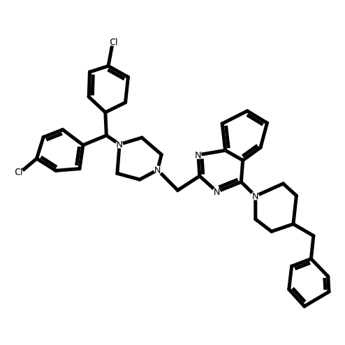 ClC1=CCC(C(c2ccc(Cl)cc2)N2CCN(Cc3nc(N4CCC(Cc5ccccc5)CC4)c4ccccc4n3)CC2)C=C1